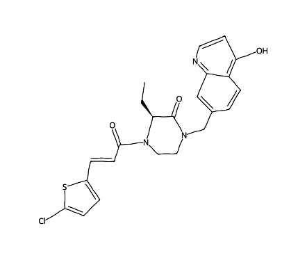 CC[C@H]1C(=O)N(Cc2ccc3c(O)ccnc3c2)CCN1C(=O)C=Cc1ccc(Cl)s1